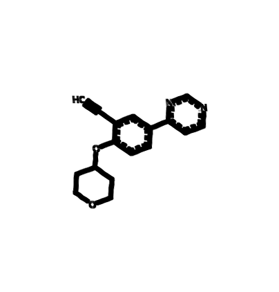 C#Cc1cc(-c2ccncn2)ccc1OC1CCOCC1